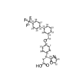 O=C(O)CC(c1ccc(OCc2cccc(-c3ccc(C(F)(F)F)cc3)c2)cc1)c1ncco1